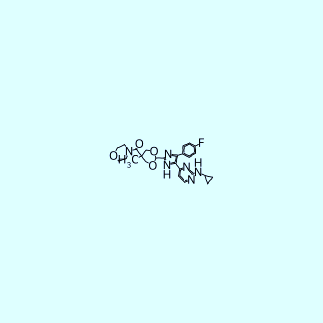 CC1(C(=O)N2CCOCC2)COC(c2nc(-c3ccc(F)cc3)c(-c3ccnc(NC4CC4)n3)[nH]2)OC1